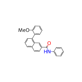 COc1ccccc1-c1cccc2ccc(C(=O)Nc3ccccc3)cc12